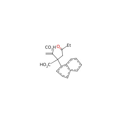 C=C(C(=O)O)C(CC(=O)CC)(C(=O)O)c1cccc2ccccc12